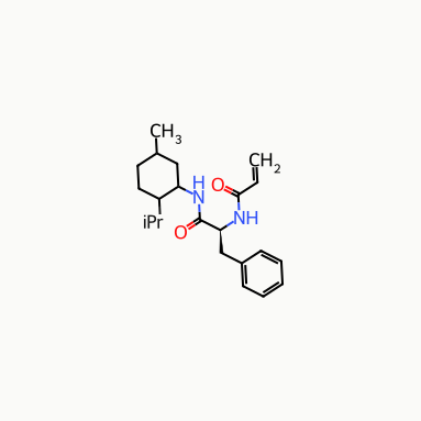 C=CC(=O)N[C@@H](Cc1ccccc1)C(=O)NC1CC(C)CCC1C(C)C